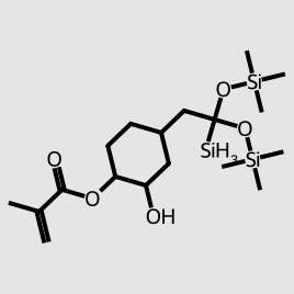 C=C(C)C(=O)OC1CCC(CC([SiH3])(O[Si](C)(C)C)O[Si](C)(C)C)CC1O